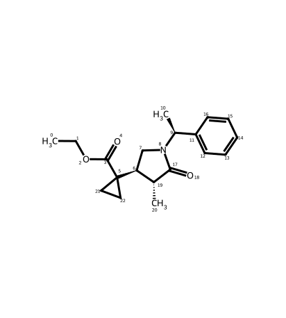 CCOC(=O)C1([C@H]2CN([C@@H](C)c3ccccc3)C(=O)[C@@H]2C)CC1